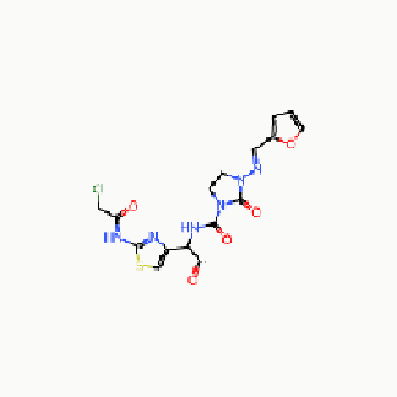 O=[C]C(NC(=O)N1CCN(N=Cc2ccco2)C1=O)c1csc(NC(=O)CCl)n1